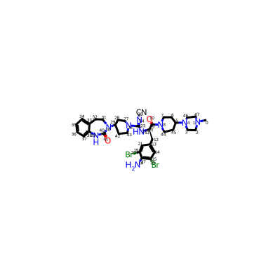 CN1CCN(C2CCN(C(=O)[C@@H](Cc3cc(Br)c(N)c(Br)c3)NC(=NC#N)N3CCC(N4CCc5ccccc5NC4=O)CC3)CC2)CC1